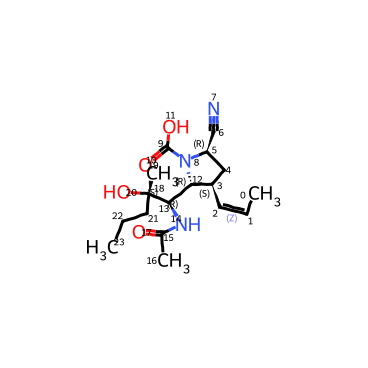 C/C=C\[C@@H]1C[C@H](C#N)N(C(=O)O)[C@H]1[C@@H](NC(C)=O)[C@@](C)(O)CCC